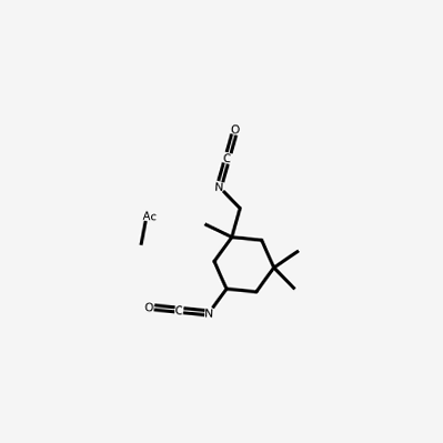 CC(C)=O.CC1(C)CC(N=C=O)CC(C)(CN=C=O)C1